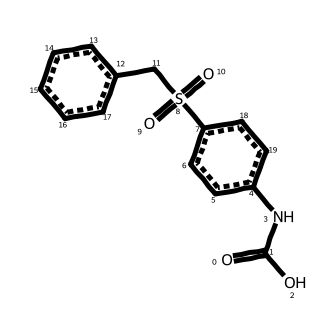 O=C(O)Nc1ccc(S(=O)(=O)Cc2ccccc2)cc1